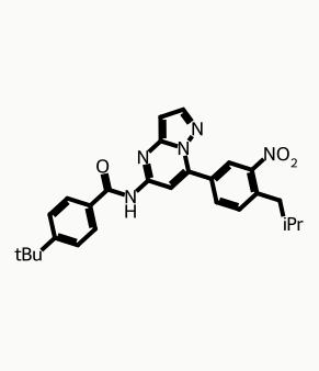 CC(C)Cc1ccc(-c2cc(NC(=O)c3ccc(C(C)(C)C)cc3)nc3ccnn23)cc1[N+](=O)[O-]